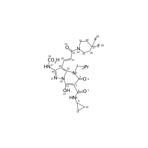 CC(C)Cn1c(=O)c(C(=O)NC2CC2)c(O)n2nc(NC(=O)O)c(C=CC(=O)N3CCC(F)(F)CC3)c12